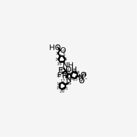 O=C(O)Cc1ccc(NCC(O)(c2cn(Cc3ccccc3)c3cc([N+](=O)[O-])ccc23)C(F)(F)F)cc1